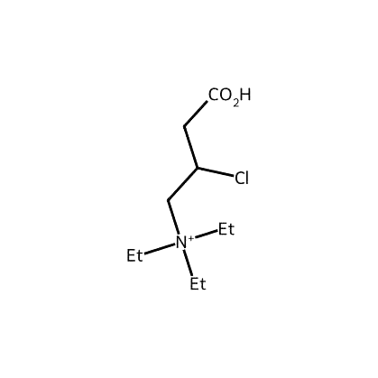 CC[N+](CC)(CC)CC(Cl)CC(=O)O